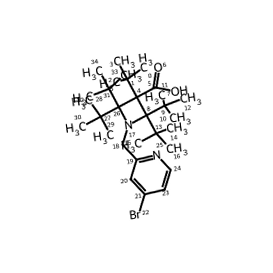 CC(C)(C)C1(C(=O)O)C(C(C)(C)C)(C(C)(C)C)N(Cc2cc(Br)ccn2)C1(C(C)(C)C)C(C)(C)C